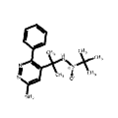 CC(C)(N[S@+]([O-])C(C)(C)C)c1cc(N)nnc1-c1ccccc1